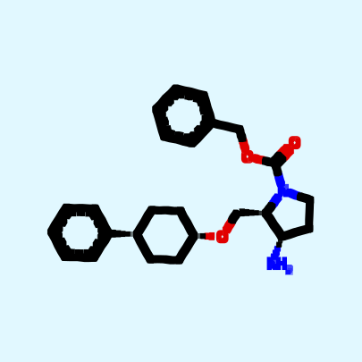 N[C@H]1CCN(C(=O)OCc2ccccc2)[C@H]1CO[C@H]1CC[C@@H](c2ccccc2)CC1